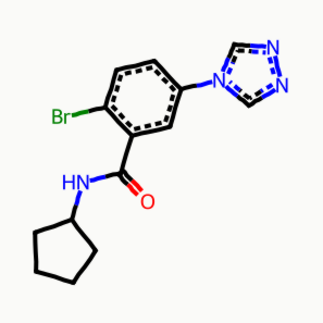 O=C(NC1CCCC1)c1cc(-n2cnnc2)ccc1Br